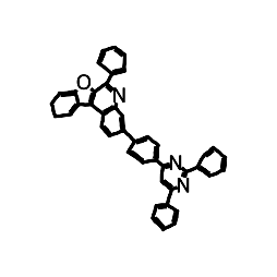 C1=c2oc3c(-c4ccccc4)nc4cc(-c5ccc(-c6cc(-c7ccccc7)nc(-c7ccccc7)n6)cc5)ccc4c3c2=CCC1